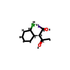 CC(=O)[C@@H](C(=O)I)C1CCCCC1Br